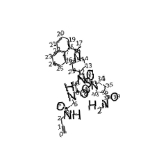 C#CCNC(=O)CNC(=O)CN(C1CCN([C@H](C)c2cccc3ccccc23)CC1)S(=O)(=O)N1CCC(C(N)=O)C1